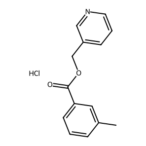 Cc1cccc(C(=O)OCc2cccnc2)c1.Cl